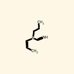 C/C=C\N(C=N)CCC